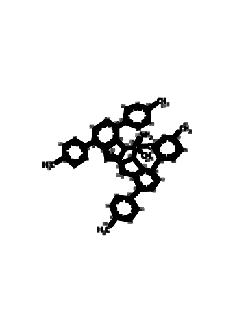 CCC(C)C1=Cc2c(-c3ccc(C)cc3)ccc(-c3ccc(C)cc3)c2[CH]1[Zr]([CH3])([CH3])(=[SiH2])[CH]1C(C(C)CC)=Cc2c(-c3ccc(C)cc3)ccc(-c3ccc(C)cc3)c21